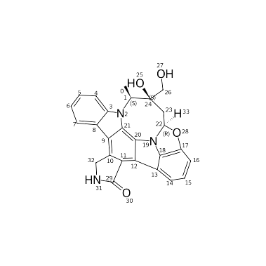 C[C@@H]1n2c3ccccc3c3c4c(c5c6cccc7c6n(c5c32)[C@@H](C[C@@]1(O)CO)O7)C(=O)NC4